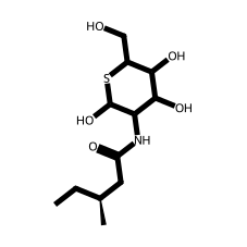 CC[C@H](C)CC(=O)NC1C(O)SC(CO)C(O)C1O